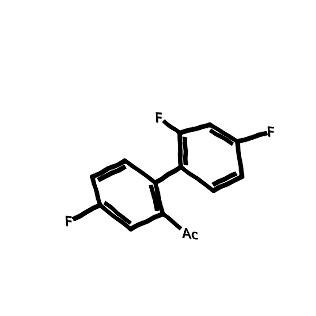 CC(=O)c1cc(F)ccc1-c1ccc(F)cc1F